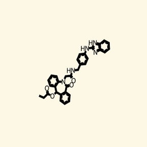 CCC(=O)OC1c2ccccc2C(=O)N(CC(=O)NCc2ccc(Nc3nc4ccccc4[nH]3)cc2)c2ccccc21